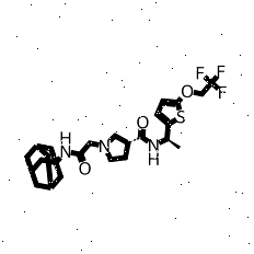 C[C@@H](NC(=O)[C@@H]1CCN(CC(=O)NC23CC4CC(CC(C4)C2)C3)C1)c1ccc(OCC(F)(F)F)s1